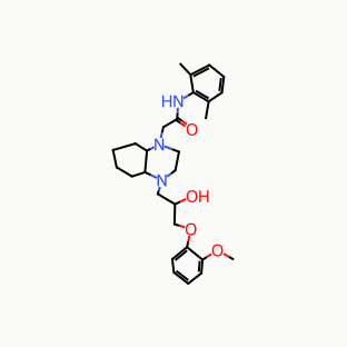 COc1ccccc1OCC(O)CN1CCN(CC(=O)Nc2c(C)cccc2C)C2CCCCC21